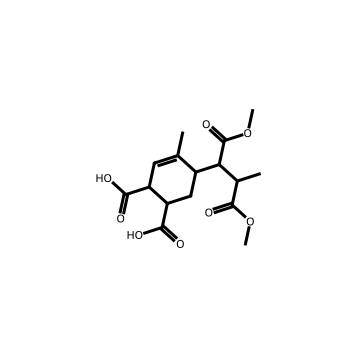 COC(=O)C(C)C(C(=O)OC)C1CC(C(=O)O)C(C(=O)O)C=C1C